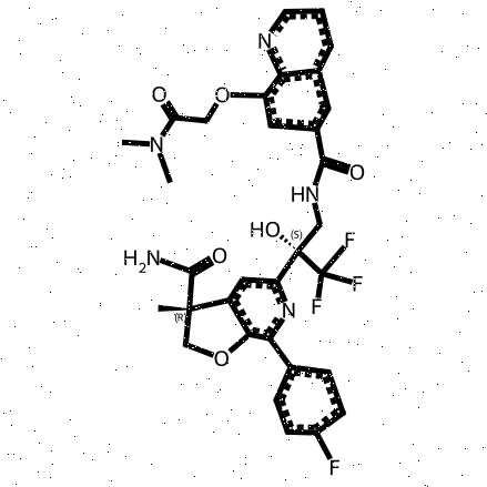 CN(C)C(=O)COc1cc(C(=O)NC[C@](O)(c2cc3c(c(-c4ccc(F)cc4)n2)OC[C@]3(C)C(N)=O)C(F)(F)F)cc2cccnc12